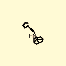 C(#Cc1cccs1)CNC12CC3CC(CC(C3)C1)C2